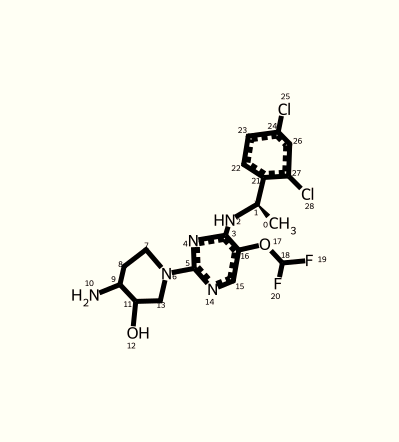 C[C@@H](Nc1nc(N2CCC(N)C(O)C2)ncc1OC(F)F)c1ccc(Cl)cc1Cl